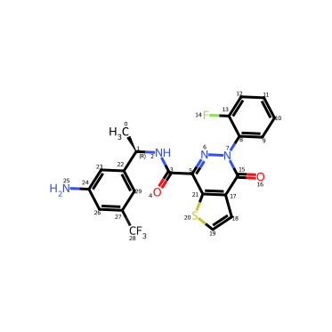 C[C@@H](NC(=O)c1nn(-c2ccccc2F)c(=O)c2ccsc12)c1cc(N)cc(C(F)(F)F)c1